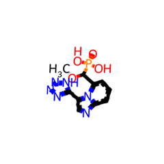 COC(c1cccc2ncc(-c3nnn[nH]3)n12)P(=O)(O)O